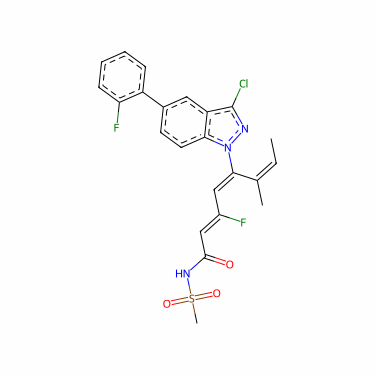 C\C=C(C)/C(=C\C(F)=C\C(=O)NS(C)(=O)=O)n1nc(Cl)c2cc(-c3ccccc3F)ccc21